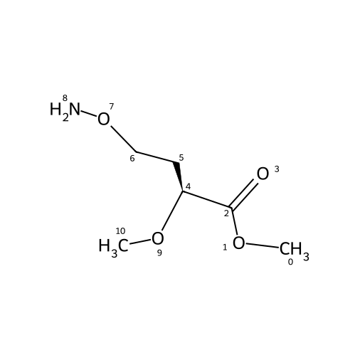 COC(=O)[C@H](CCON)OC